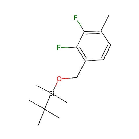 Cc1ccc(CO[Si](C)(C)C(C)(C)C)c(F)c1F